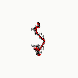 CN[C@@H](C)C(=O)N[C@H](C(=O)N1C[C@@H](NC(=O)CCC(=O)NCCOCCN2CC[C@]3(CCN(CCC(=O)NCCCNc4cc(N5CCC6(CC5)CN(c5cc(F)c(CN7CCC(C)(C)CC7)cc5F)CC(=O)N6)ncn4)C3)C2)C[C@H]1C(=O)N[C@@H]1CCCc2ccccc21)C1CCCCC1